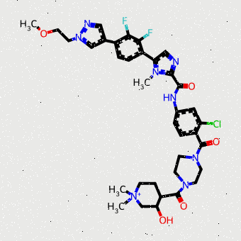 COCCn1cc(-c2ccc(-c3cnc(C(=O)Nc4ccc(C(=O)N5CCN(C(=O)C6CC[N+](C)(C)CC6O)CC5)c(Cl)c4)n3C)c(F)c2F)cn1